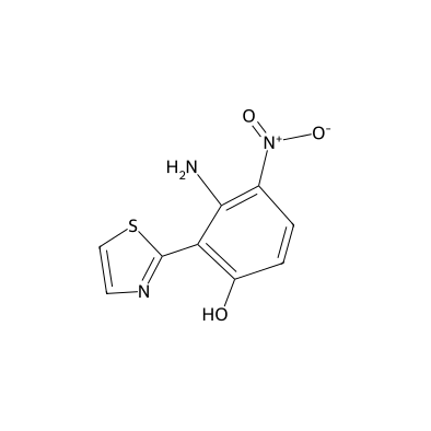 Nc1c([N+](=O)[O-])ccc(O)c1-c1nccs1